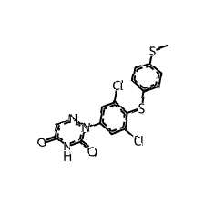 CSc1ccc(Sc2c(Cl)cc(-n3ncc(=O)[nH]c3=O)cc2Cl)cc1